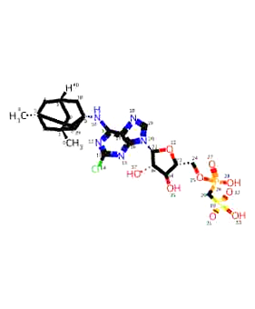 C[C@]12C[C@@H]3C[C@](C)(C1)C[C@@](Nc1nc(Cl)nc4c1ncn4[C@@H]1O[C@H](COP(=O)(O)CS(=O)(=O)O)C(O)[C@@H]1O)(C3)C2